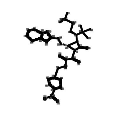 C[SiH](C)OC[C@H]([C@H]1C(=O)N(C(=O)C(=O)OCc2ccc([N+](=O)[O-])cc2)[C@@H]1SSc1nc2ccccc2s1)C(C)(C)C